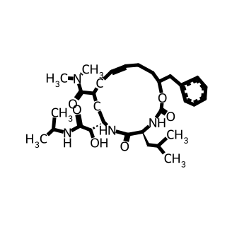 CC(C)C[C@@H]1NC(=O)OC(Cc2ccccc2)CCC=CCC(C(=O)N(C)C)C[C@@H](C(O)C(=O)NC(C)C)NC1=O